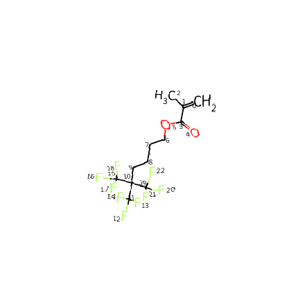 C=C(C)C(=O)OCCCCC(C(F)(F)F)(C(F)(F)F)C(F)(F)F